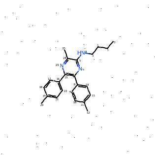 CCCCNc1nc(-c2ccc(C)cc2)c(-c2ccc(C)cc2)nc1C